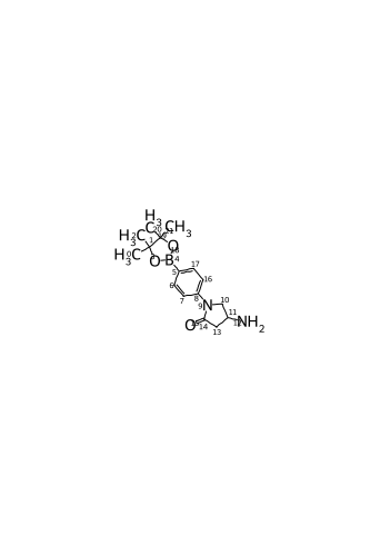 CC1(C)OB(c2ccc(N3CC(N)CC3=O)cc2)OC1(C)C